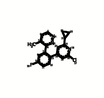 Cc1ccnnc1-c1cc(F)ccc1-c1cc(Cl)nc(C2CC2)c1